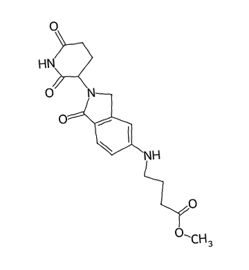 COC(=O)CCCNc1ccc2c(c1)CN(C1CCC(=O)NC1=O)C2=O